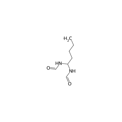 [CH2]CCCC(NC=O)NC=O